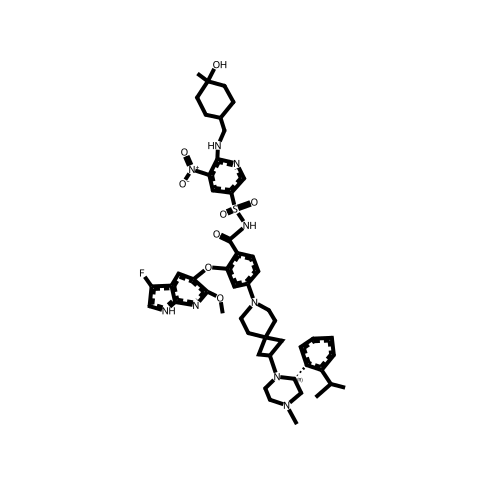 COc1nc2[nH]cc(F)c2cc1Oc1cc(N2CCC3(CC2)CC(N2CCN(C)C[C@H]2c2ccccc2C(C)C)C3)ccc1C(=O)NS(=O)(=O)c1cnc(NCC2CCC(C)(O)CC2)c([N+](=O)[O-])c1